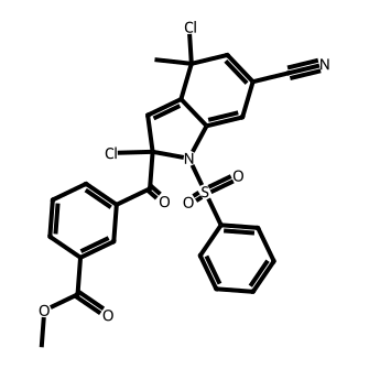 COC(=O)c1cccc(C(=O)C2(Cl)C=C3C(=CC(C#N)=CC3(C)Cl)N2S(=O)(=O)c2ccccc2)c1